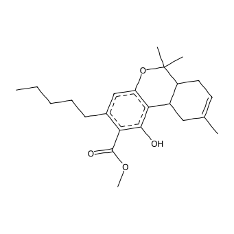 CCCCCc1cc2c(c(O)c1C(=O)OC)C1CC(C)=CCC1C(C)(C)O2